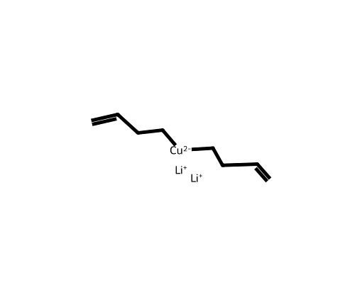 C=CC[CH2][Cu-2][CH2]CC=C.[Li+].[Li+]